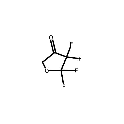 O=C1COC(F)(F)C1(F)F